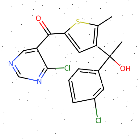 Cc1sc(C(=O)c2cncnc2Cl)cc1C(C)(O)c1cccc(Cl)c1